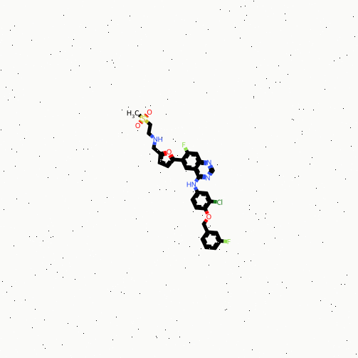 CS(=O)(=O)CCNCc1ccc(-c2cc3c(Nc4ccc(OCc5cccc(F)c5)c(Cl)c4)ncnc3cc2F)o1